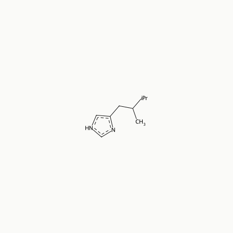 CC(C)C(C)Cc1c[nH]cn1